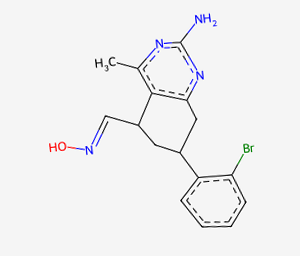 Cc1nc(N)nc2c1C(C=NO)CC(c1ccccc1Br)C2